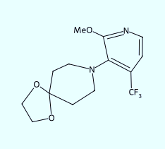 COc1nccc(C(F)(F)F)c1N1CCC2(CC1)OCCO2